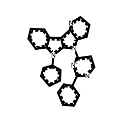 c1ccc(-c2nccc(-n3c4cccnc4c4c5ccccc5n(-c5ccccc5)c43)n2)cc1